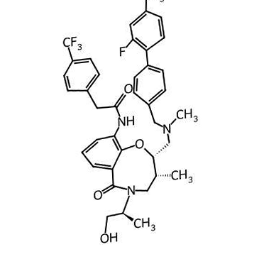 Cc1ccc(-c2ccc(CN(C)C[C@H]3Oc4c(NC(=O)Cc5ccc(C(F)(F)F)cc5)cccc4C(=O)N([C@@H](C)CO)C[C@H]3C)cc2)c(F)c1